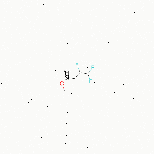 CO[SiH](C)CC(F)C(F)F